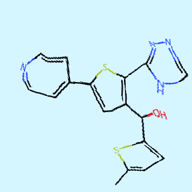 Cc1ccc(C(O)c2cc(-c3ccncc3)sc2-c2nnc[nH]2)s1